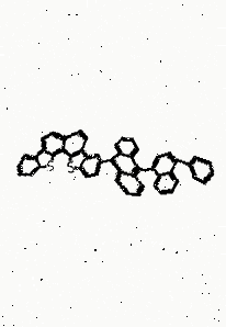 c1ccc(-c2ccc(-c3c4ccccc4c(-c4ccc5sc6c(ccc7ccc8c9ccccc9sc8c76)c5c4)c4ccccc34)c3ccccc23)cc1